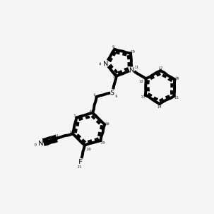 N#Cc1cc(CSc2nccn2-c2ccccc2)ccc1F